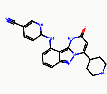 N#CC1=CNC(Nc2cccc3nn4c(C5CCNCC5)cc(=O)[nH]c4c23)C=C1